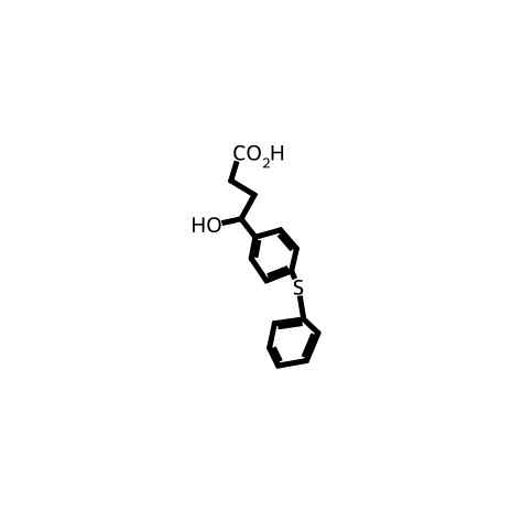 O=C(O)CCC(O)c1ccc(Sc2ccccc2)cc1